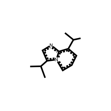 CC(C)c1cccn2c(C(C)C)cnc12